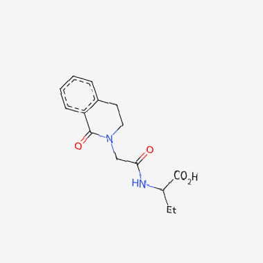 CCC(NC(=O)CN1CCc2ccccc2C1=O)C(=O)O